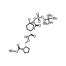 CCCCN(OS(=O)(=O)ON1C(=O)N2C[C@@H]1CC[C@H]2C(=O)NOC[C@@H]1CCCN1C(=O)OC(C)(C)C)C(CCC)(CCCC)CCCC